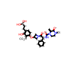 C=C1C(=O)N(CC)CCN1C(=O)N[C@@H](C(=O)N1CC(Oc2ccc(CCB(O)O)c(O)c2C(=O)O)C1)c1ccccc1